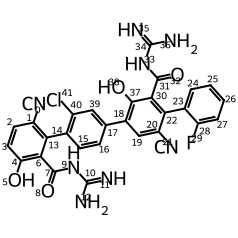 N#Cc1ccc(O)c(C(=O)NC(=N)N)c1-c1ccc(-c2cc(C#N)c(-c3ccccc3F)c(C(=O)NC(=N)N)c2O)cc1Cl